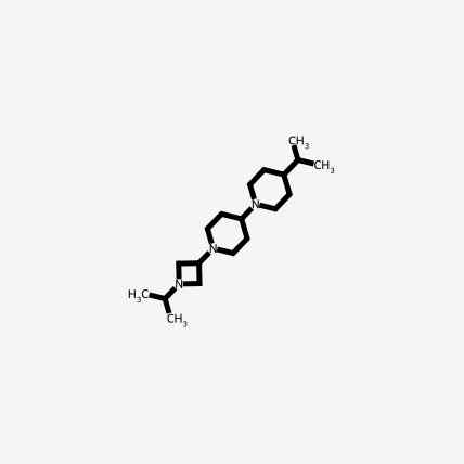 CC(C)C1CCN(C2CCN(C3CN(C(C)C)C3)CC2)CC1